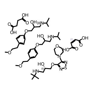 CC(C)(C)NC[C@H](O)COc1nsnc1N1CCOCC1.COCCc1ccc(OCC(O)CNC(C)C)cc1.COCCc1ccc(OCC(O)CNC(C)C)cc1.O=C(O)/C=C\C(=O)O.O=C(O)CCC(=O)O